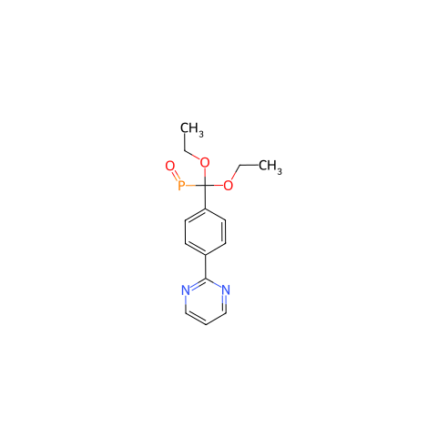 CCOC(OCC)(P=O)c1ccc(-c2ncccn2)cc1